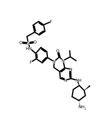 CC(C)N1C(=O)N(c2ccc(NS(=O)(=O)Cc3ccc(F)cc3)c(F)c2)Cc2cnc(N[C@@H]3CC[C@@H](N)C[C@@H]3C)nc21